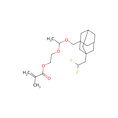 C=C(C)C(=O)OCCOC(C)OCC12CC3CC(C1)CC(CC(F)F)(C3)C2